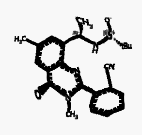 Cc1cc([C@@H](C)N[S@+]([O-])C(C)(C)C)c2nc(-c3ccccc3C#N)n(C)c(=O)c2c1